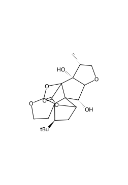 C[C@@H]1COC2[C@H](O)C34C5C[C@@H](C(C)(C)C)C36CCOC6OC4(C(=O)O5)[C@]21O